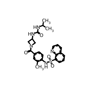 Cc1cc(C(=O)N2CC(NC(=O)NC(C)C)C2)ccc1NS(=O)(=O)c1cccc2cccnc12